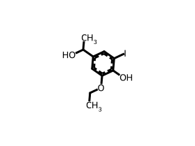 CCOc1cc(C(C)O)cc(I)c1O